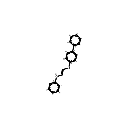 C(=COc1ccc(-c2ccccc2)cc1)Oc1ccccc1